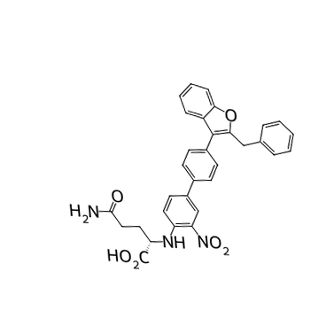 NC(=O)CC[C@H](Nc1ccc(-c2ccc(-c3c(Cc4ccccc4)oc4ccccc34)cc2)cc1[N+](=O)[O-])C(=O)O